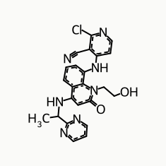 CC(Nc1cc(=O)n(CCO)c2c(Nc3ccnc(Cl)c3C#N)cccc12)c1ncccn1